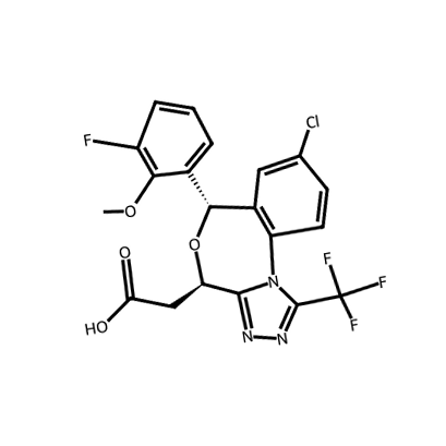 COc1c(F)cccc1[C@H]1O[C@H](CC(=O)O)c2nnc(C(F)(F)F)n2-c2ccc(Cl)cc21